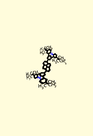 CC(C)(C)c1ccc2c(c1)c1cc(-c3ccc4ccc5c(-c6cc7c8cc(C(C)(C)C)ccc8n8c9ccc(C(C)(C)C)cc9c(c6)c78)ccc6ccc3c4c65)cc3c4cc(C(C)(C)C)ccc4n2c13